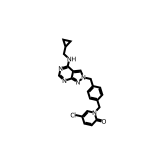 O=c1ccc(Cl)cn1Cc1ccc(Cn2cc3c(NCC4CC4)ncnc3n2)cc1